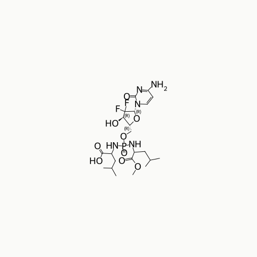 COC(=O)C(CC(C)C)NP(=O)(NC(CC(C)C)C(=O)O)OC[C@H]1O[C@@H](n2ccc(N)nc2=O)C(F)(F)[C@@H]1O